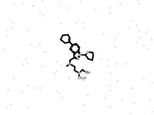 CN(CCN(CC(C)(C)C)C(=O)O)Cc1nn(C2CCCCO2)c2ccc(C3=CCCCC3)cc12